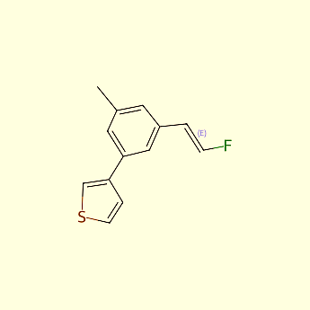 Cc1cc(/C=C/F)cc(-c2ccsc2)c1